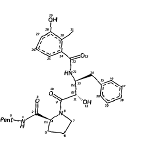 CCCCCNC(=O)[C@@H]1CCCN1C(=O)[C@@H](O)[C@H](Cc1ccccc1)NC(=O)c1cccc(O)c1C